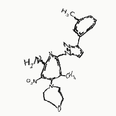 Cc1cccc(-c2ccn(-c3nc(N)c([N+](=O)[O-])c(N4CCOCC4)c3C)n2)c1